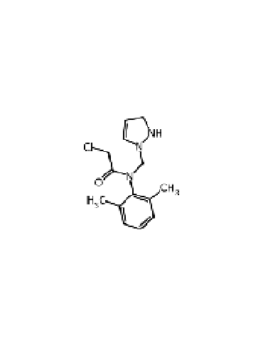 Cc1cccc(C)c1N(CN1C=CCN1)C(=O)CCl